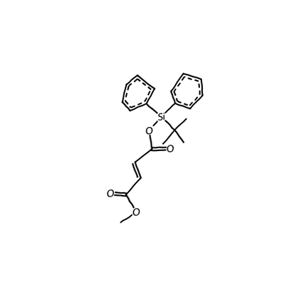 COC(=O)/C=C/C(=O)O[Si](c1ccccc1)(c1ccccc1)C(C)(C)C